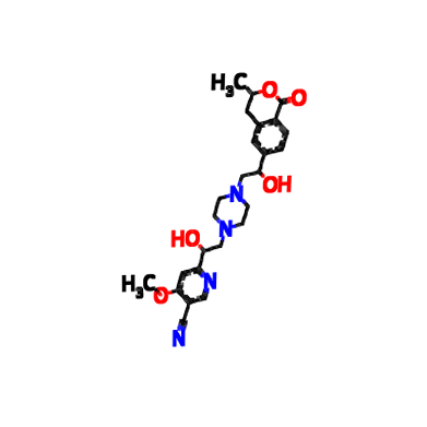 COc1cc(C(O)CN2CCN(CC(O)c3ccc4c(c3)CC(C)OC4=O)CC2)ncc1C#N